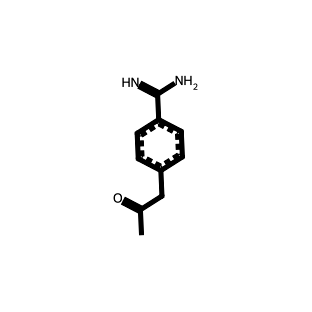 CC(=O)Cc1ccc(C(=N)N)cc1